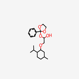 CC1CCC(C(C)C)C(OCC(O)OC2(c3ccccc3)OCCO2)C1